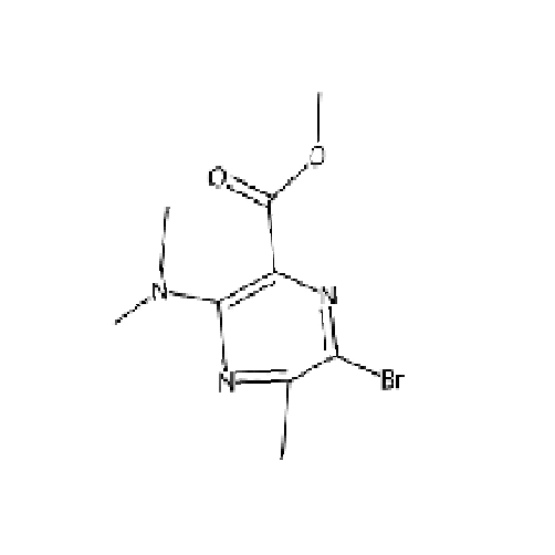 COC(=O)c1nc(Br)c(C)nc1N(C)C